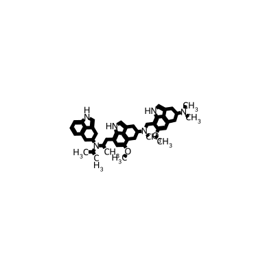 COc1cc2c3c(c[nH]c3c1CN(C)C1Cc3c[nH]c4c(CC(C)N(C(C)C)C5Cc6cccc7[nH]cc(c67)C5)cc(OC)c(c34)C1)CC(N(C)C)C2